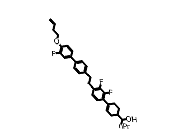 C=CCCOc1ccc(-c2ccc(CCc3ccc(C4=CCC(C(O)CCC)CC4)c(F)c3F)cc2)cc1F